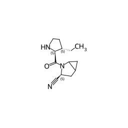 CC[C@H]1CCN[C@@H]1C(=O)N1C2CC2C[C@H]1C#N